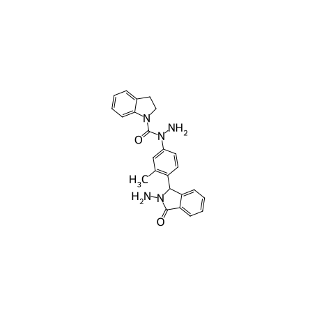 Cc1cc(N(N)C(=O)N2CCc3ccccc32)ccc1C1c2ccccc2C(=O)N1N